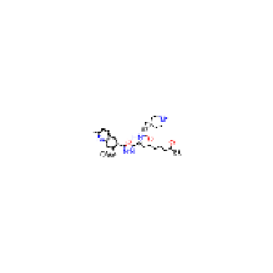 CCC(=O)CCCCC[C@H](NC(=O)[C@H]1CC12CCN(C)CC2)c1nnc(-c2cc3ccc(C)nc3cc2OC)o1